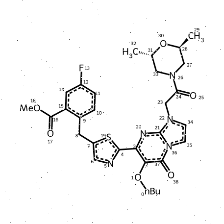 CCCCOc1c(-c2ncc(Cc3ccc(F)cc3C(=O)OC)s2)nc2n(CC(=O)N3C[C@H](C)O[C@@H](C)C3)ccn2c1=O